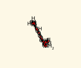 Nc1ncnc2c1nc(Sc1cc(Cl)cc(Cl)c1)n2CCCNC(=O)CCOCCOCCOCCOCCNCCCCC[C@H]1SC[C@@H]2NC(=O)N[C@@H]21